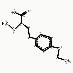 CCOc1ccc(CC[C@@H](NC)C(=O)O)cc1